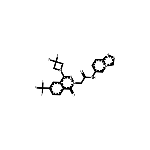 O=C(Cn1nc(N2CC(F)(F)C2)c2cc(C(F)(F)F)ccc2c1=O)Nc1ccc2nncn2c1